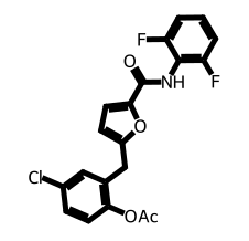 CC(=O)Oc1ccc(Cl)cc1Cc1ccc(C(=O)Nc2c(F)cccc2F)o1